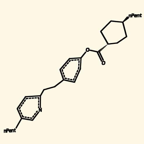 CCCCCc1ccc(CCc2ccc(OC(=O)[C@H]3CC[C@H](CCCCC)CC3)cc2)nc1